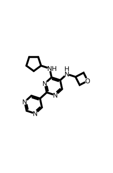 c1ncc(-c2ncc(NC3COC3)c(NC3CCCC3)n2)cn1